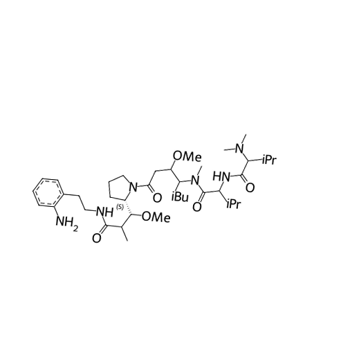 CCC(C)C(C(CC(=O)N1CCC[C@H]1C(OC)C(C)C(=O)NCCc1ccccc1N)OC)N(C)C(=O)C(NC(=O)C(C(C)C)N(C)C)C(C)C